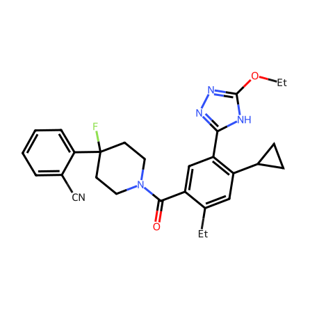 CCOc1nnc(-c2cc(C(=O)N3CCC(F)(c4ccccc4C#N)CC3)c(CC)cc2C2CC2)[nH]1